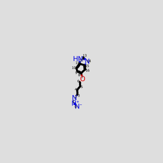 [N-]=[N+]=NCCCCOc1ccc2[nH]cnc2c1